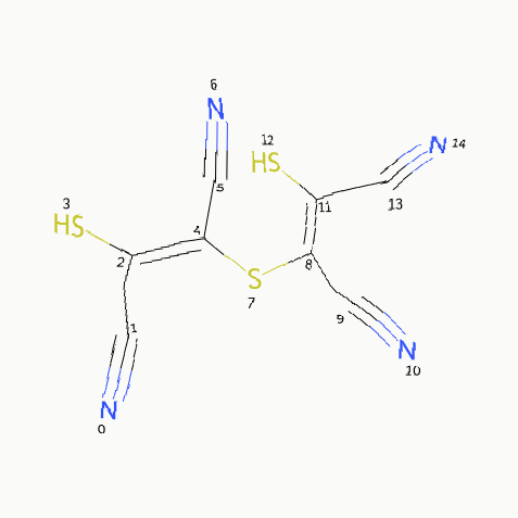 N#CC(S)=C(C#N)SC(C#N)=C(S)C#N